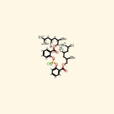 CCC(CC(C)CC(COC(=O)c1ccccc1OP(Cl)Oc1ccccc1C(=O)OCC(CC(C)CC(CC)C(C)(C)C)C(C)(C)C)C(C)(C)C)C(C)(C)C